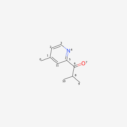 Cc1ccnc(C(=O)C(C)C)c1